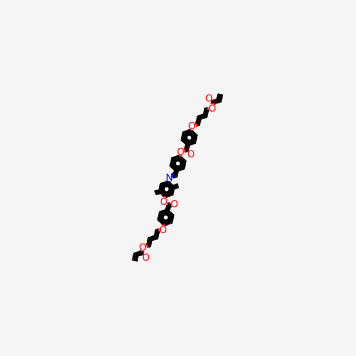 C=CC(=O)OCCCCOc1ccc(C(=O)Oc2ccc(/C=N/c3cc(C)c(OC(=O)c4ccc(OCCCCOC(=O)C=C)cc4)cc3C)cc2)cc1